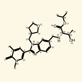 C=C1C(C)=CC(c2nc3ccc(CN[C@H](C(=O)OC(C)C)[C@@H](C)O)cc3n2CC2CCOC2)=CN1C